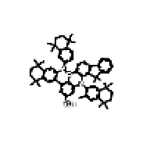 Cc1cc2c(cc1N1c3cc(C(C)(C)C)cc4c3B(c3ccc5c(c31)C(C)(C)c1ccccc1-5)N(c1ccc3c(c1)C(C)(C)CCC3(C)C)c1cc3c(cc1-4)C(C)(C)CCC3(C)C)C(C)(C)CCC2(C)C